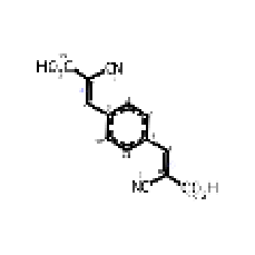 N#C/C(=C\c1ccc(/C=C(\C#N)C(=O)O)cc1)C(=O)O